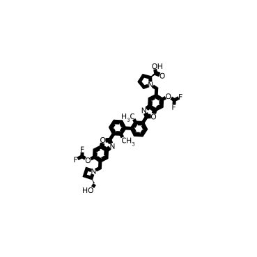 Cc1c(-c2nc3cc(CN4CC[C@H]4CO)c(OC(F)F)cc3o2)cccc1-c1cccc(-c2nc3cc(CN4CCC[C@H]4C(=O)O)c(OC(F)F)cc3o2)c1C